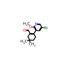 COc1ncc(Br)cc1C1=C(C=O)CC(C)(C)CC1